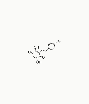 CC(C)c1ccc(CCC2=C(O)C(=O)C=C(O)C2=O)cc1